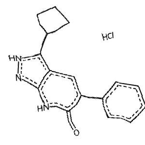 Cl.O=c1[nH]c2n[nH]c(C3CCC3)c2cc1-c1ccccc1